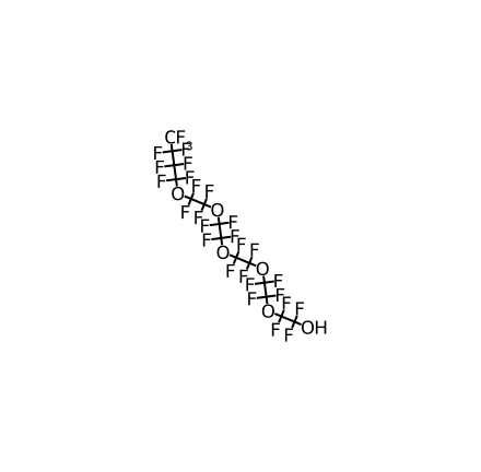 OC(F)(F)C(F)(F)OC(F)(F)C(F)(F)OC(F)(F)C(F)(F)OC(F)(F)C(F)(F)OC(F)(F)C(F)(F)OC(F)(F)C(F)(F)C(F)(F)C(F)(F)F